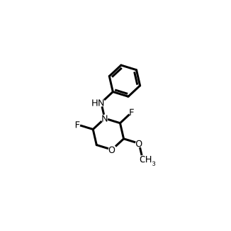 COC1OCC(F)N(Nc2ccccc2)C1F